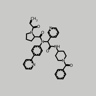 C=CC(=O)N1CCCC1C(=O)N(c1ccc(-c2ccccn2)cc1)C(C(=O)NC1CCN(C(=O)c2ccccc2)CC1)c1cccnc1